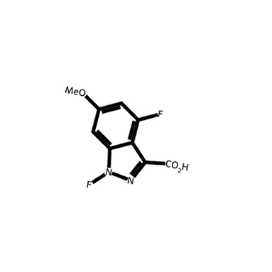 COc1cc(F)c2c(C(=O)O)nn(F)c2c1